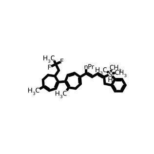 CCC/C(=C\C=C1/Cc2ccccc2[SH]1(C)(C)C)C1=CCC(C)=C(C2=CC=C(C)CCC2CC(C)(F)F)C=C1